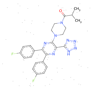 CC(C)C(=O)N1CCN(c2nc(-c3ccc(F)cc3)c(-c3ccc(F)cc3)nc2-c2nnn[nH]2)CC1